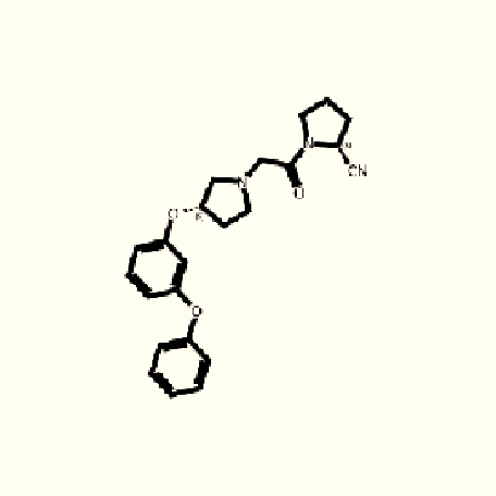 N#C[C@@H]1CCCN1C(=O)CN1CC[C@H](Oc2cccc(Oc3ccccc3)c2)C1